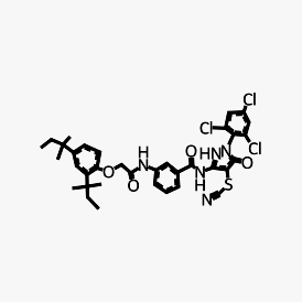 CCC(C)(C)c1ccc(OCC(=O)Nc2cccc(C(=O)Nc3[nH]n(-c4c(Cl)cc(Cl)cc4Cl)c(=O)c3SC#N)c2)c(C(C)(C)CC)c1